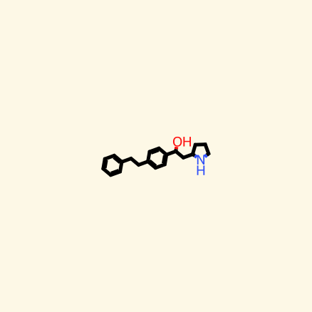 OC(CC1CCCN1)c1ccc(CCc2ccccc2)cc1